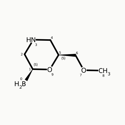 B[C@H]1CNC[C@@H](COC)O1